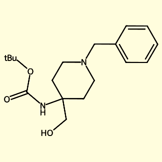 CC(C)(C)OC(=O)NC1(CO)CCN(Cc2ccccc2)CC1